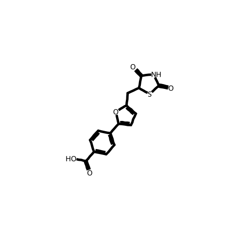 O=C1NC(=O)C(Cc2ccc(-c3ccc(C(=O)O)cc3)o2)S1